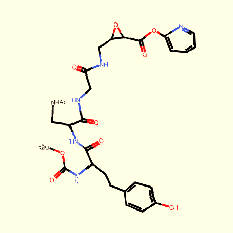 CC(=O)NCC(NC(=O)C(CCc1ccc(O)cc1)NC(=O)OC(C)(C)C)C(=O)NCC(=O)NCC1OC1C(=O)Oc1ccccn1